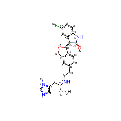 Cn1cncc1C[C@H](NCCc1ccc2c(c1)COC2=C1C(=O)Nc2ccc(F)cc21)C(=O)O